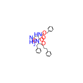 NC(=O)C[C@@H](NC(=O)OCc1ccccc1)C(=O)NC(Cc1ccccc1)C1OC1CCc1ccccc1